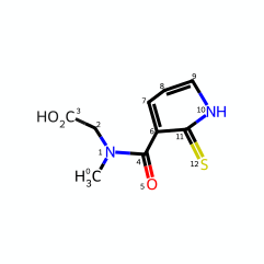 CN(CC(=O)O)C(=O)c1ccc[nH]c1=S